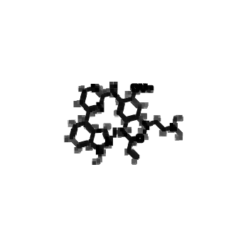 C=CC(=O)Nc1cc(Nc2nccc(-c3cccc4c3cnn4C)n2)c(OC)cc1N(C)CCN(C)C